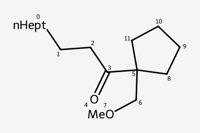 CCCCCCCCCC(=O)C1(COC)CCCC1